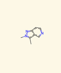 Cc1c2cnccc2nn1C